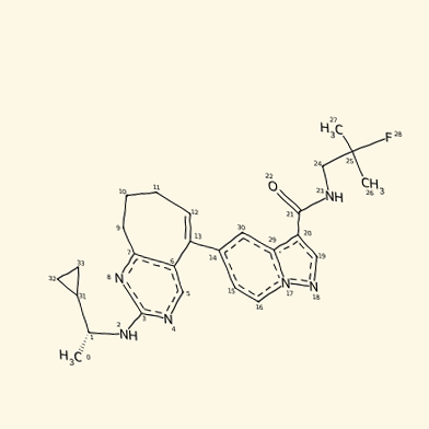 C[C@@H](Nc1ncc2c(n1)CCCC=C2c1ccn2ncc(C(=O)NCC(C)(C)F)c2c1)C1CC1